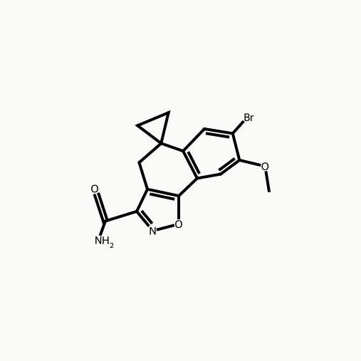 COc1cc2c(cc1Br)C1(CC1)Cc1c(C(N)=O)noc1-2